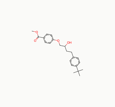 COC(=O)c1ccc(OCC(O)CCc2ccc(C(C)(C)C)cc2)cc1